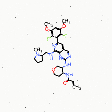 C=CC(=O)N[C@H]1CCOC[C@H]1Nc1ncc2cc(-c3c(F)c(OC)cc(OC)c3F)nc(NCC3CCCN3C)c2n1